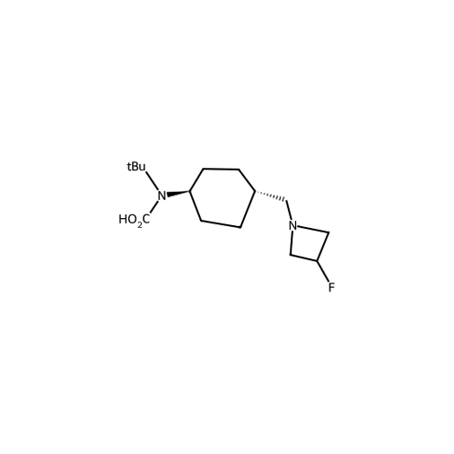 CC(C)(C)N(C(=O)O)[C@H]1CC[C@H](CN2CC(F)C2)CC1